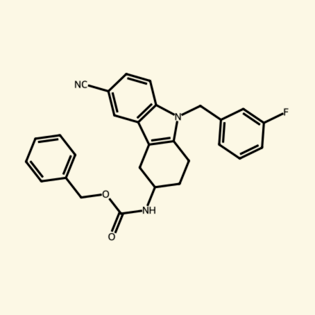 N#Cc1ccc2c(c1)c1c(n2Cc2cccc(F)c2)CCC(NC(=O)OCc2ccccc2)C1